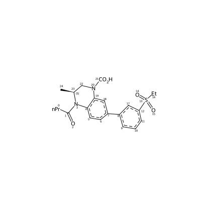 CCCC(=O)N1c2ccc(-c3cccc(S(=O)(=O)CC)c3)cc2N(C(=O)O)C[C@@H]1C